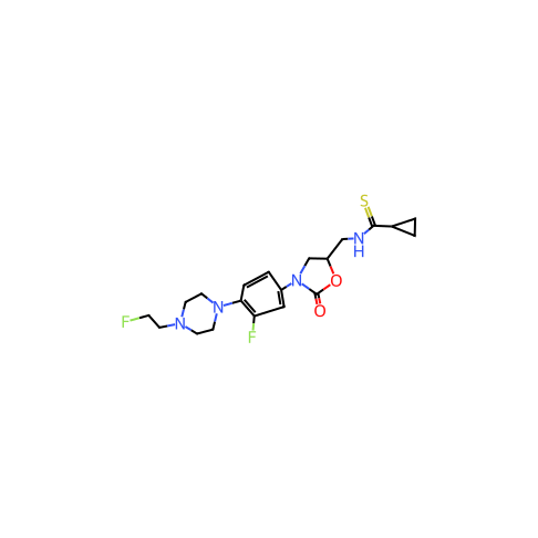 O=C1OC(CNC(=S)C2CC2)CN1c1ccc(N2CCN(CCF)CC2)c(F)c1